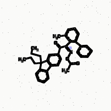 CCCC1(CCC)c2ccccc2-c2ccc(C(=O)/C(=N\OC(C)=O)c3c(C)cccc3-c3ccccc3)cc21